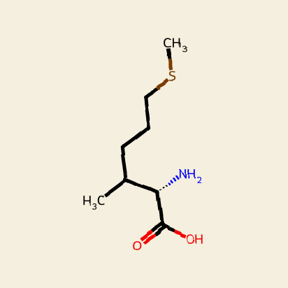 CSCCCC(C)[C@H](N)C(=O)O